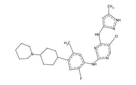 Cc1cc(Nc2nc(Nc3cc(C)c(C4CCC(N5CCCCC5)CC4)cc3F)ncc2Cl)n[nH]1